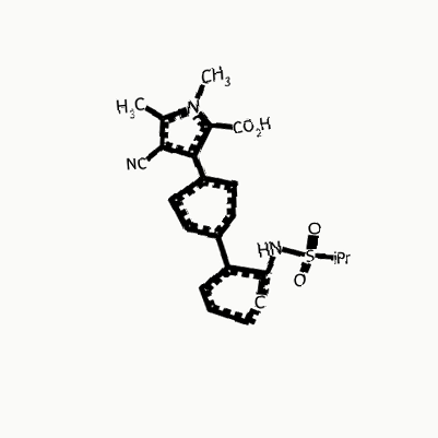 Cc1c(C#N)c(-c2ccc(-c3ccccc3NS(=O)(=O)C(C)C)cc2)c(C(=O)O)n1C